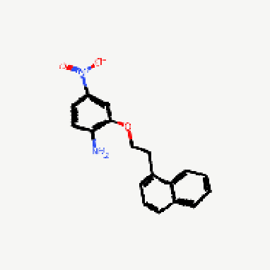 Nc1ccc([N+](=O)[O-])cc1OCCc1cccc2ccccc12